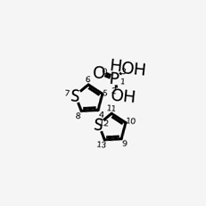 O=[PH](O)O.c1ccsc1.c1ccsc1